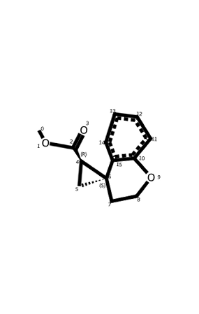 COC(=O)[C@@H]1C[C@]12CCOc1ccccc12